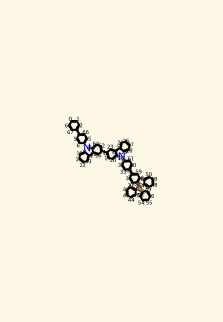 c1ccc(-c2ccc(-n3c4ccccc4c4cc(-c5ccc6c(c5)c5ccccc5n6-c5ccc(-c6ccc(S(c7ccccc7)(c7ccccc7)c7ccccc7)cc6)cc5)ccc43)cc2)cc1